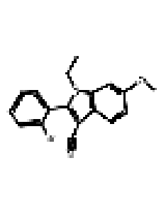 CCn1c(-c2ccccc2Br)c(C#N)c2ccc(OC)cc21